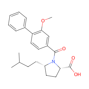 COc1cc(C(=O)N2[C@@H](CCC(C)C)CC[C@H]2C(=O)O)ccc1-c1ccccc1